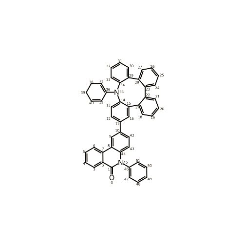 O=c1c2ccccc2c2cc(-c3ccc4c(c3)c3ccccc3c3ccccc3c3ccccc3n4C3=CCCC=C3)ccc2n1-c1ccccc1